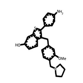 COc1cc(Cc2c(-c3ccc(N)cc3)sc3cc(O)ccc23)ccc1CN1CCCC1